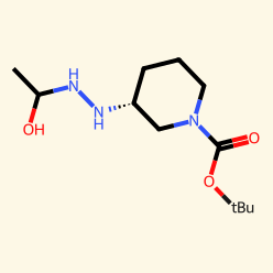 CC(O)NN[C@@H]1CCCN(C(=O)OC(C)(C)C)C1